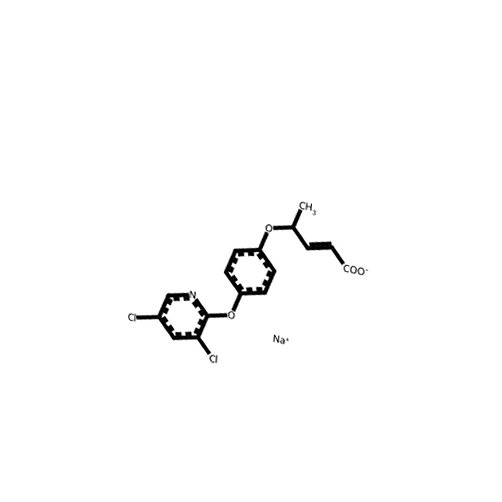 CC(/C=C/C(=O)[O-])Oc1ccc(Oc2ncc(Cl)cc2Cl)cc1.[Na+]